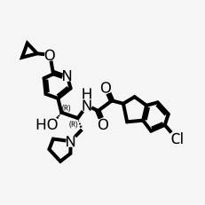 O=C(N[C@H](CN1CCCC1)[C@H](O)c1ccc(OC2CC2)nc1)C(=O)C1Cc2ccc(Cl)cc2C1